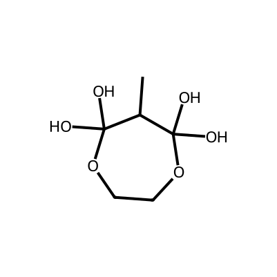 CC1C(O)(O)OCCOC1(O)O